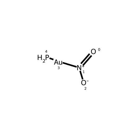 O=[N+]([O-])[Au][PH2]